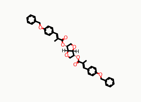 C/C(=C\c1ccc(OCc2ccccc2)cc1)C(=O)O[C@@H]1CO[C@H]2[C@@H]1OC[C@H]2OC(=O)/C(C)=C/c1ccc(OCc2ccccc2)cc1